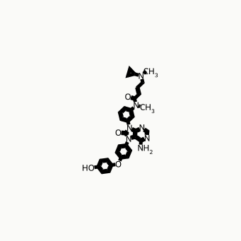 CN(C(=O)C=CCN(C)C1CC1)c1cccc(-n2c(=O)n(-c3ccc(Oc4ccc(O)cc4)cc3)c3c(N)ncnc32)c1